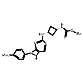 COc1ccc(-n2[nH]c3cnc(N[C@H]4C[C@@H](NC(=O)OC(C)(C)C)C4)nc32)cc1